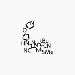 CSc1nc2c(C#N)c(Nc3ccc(Oc4ccncc4)cc3)nn2c(C(C)(C)C)c1C#N